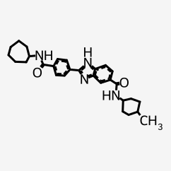 CC1CCC(NC(=O)c2ccc3[nH]c(-c4ccc(C(=O)NC5CCCCCC5)cc4)nc3c2)CC1